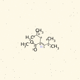 COC(=O)/C(=C/C(C)C)CC(C)C